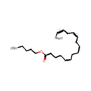 CCCCC/C=C\C/C=C\C/C=C\C/C=C\CCCC(=O)OCCCCCCCCCCCCCC